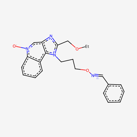 CCOCc1nc2c[n+]([O-])c3ccccc3c2n1CCCO/N=C/c1ccccc1